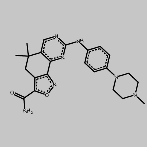 CN1CCN(c2ccc(Nc3ncc4c(n3)-c3noc(C(N)=O)c3CC4(C)C)cc2)CC1